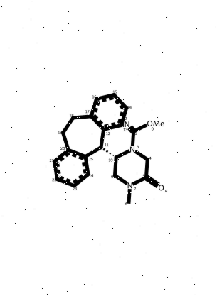 COC(=N)N1CC(=O)N(C)C[C@@H]1C1c2ccccc2CCc2ccccc21